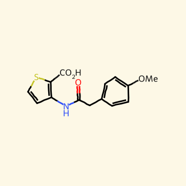 COc1ccc(CC(=O)Nc2ccsc2C(=O)O)cc1